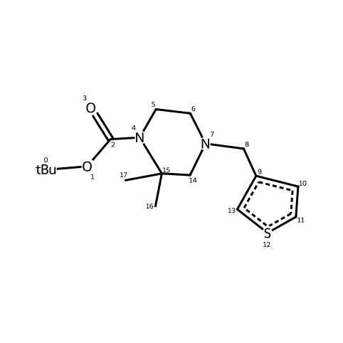 CC(C)(C)OC(=O)N1CCN(Cc2ccsc2)CC1(C)C